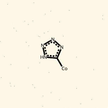 [Co][c]1nnn[nH]1